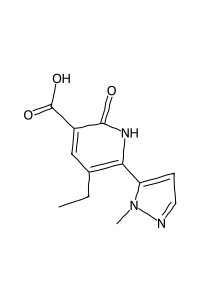 CCc1cc(C(=O)O)c(=O)[nH]c1-c1ccnn1C